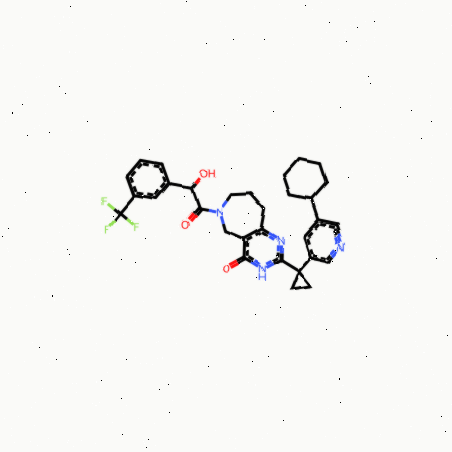 O=C(C(O)c1cccc(C(F)(F)F)c1)N1CCCc2nc(C3(c4cncc(C5CCCCC5)c4)CC3)[nH]c(=O)c2C1